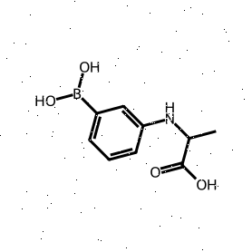 CC(Nc1cccc(B(O)O)c1)C(=O)O